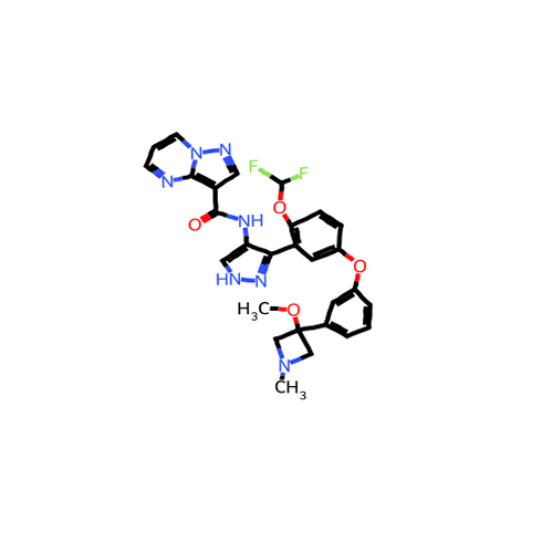 COC1(c2cccc(Oc3ccc(OC(F)F)c(-c4n[nH]cc4NC(=O)c4cnn5cccnc45)c3)c2)CN(C)C1